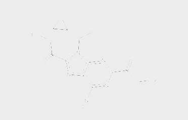 CC([C@@H]1CO1)n1c(C(=O)OC(C)(C)C)nc2c(N)nc(C(=O)OC(C)(C)C)nc21